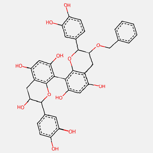 Oc1ccc(C2Oc3c(c(O)cc(O)c3-c3c(O)cc(O)c4c3OC(c3ccc(O)c(O)c3)C(OCc3ccccc3)C4)CC2O)cc1O